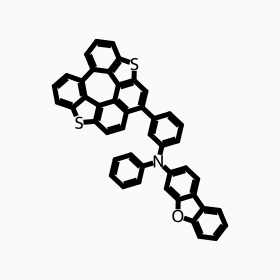 c1ccc(N(c2cccc(-c3cc4sc5cccc6c5c4c4c3ccc3sc5cccc-6c5c34)c2)c2ccc3c(c2)oc2ccccc23)cc1